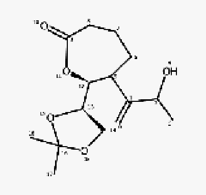 C=C(C(C)O)C1CCCC(=O)O[C@@H]1[C@H]1COC(C)(C)O1